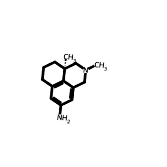 CN1Cc2cc(N)cc3c2[C@@](C)(CCC3)C1